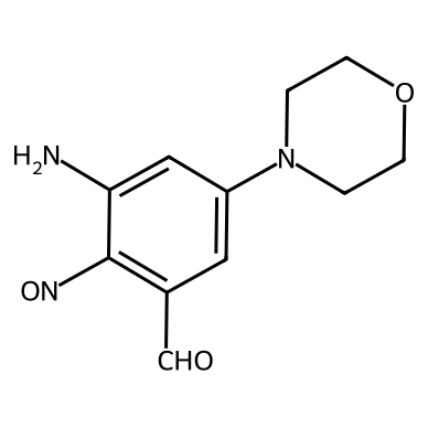 Nc1cc(N2CCOCC2)cc(C=O)c1N=O